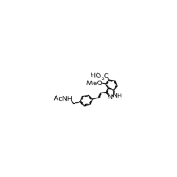 COc1c(C(=O)O)ccc2[nH]nc(/C=C/c3ccc(CNC(C)=O)cc3)c12